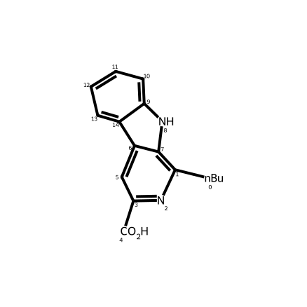 CCCCc1nc(C(=O)O)cc2c1[nH]c1ccccc12